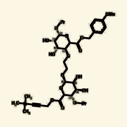 COc1ccc(COC(=O)C2O[C@@H](OC(C)C)[C@@H](O)[C@@H](O)[C@@H]2OCCO[C@@H]2OC(C(=O)OCC#C[Si](C)(C)C)[C@@H](OC(C)C)[C@H](O)[C@@H]2O)cc1